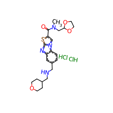 CN(CC1OCCO1)C(=O)c1cn2c(nc3cc(CNCC4CCOCC4)ccc32)s1.Cl.Cl